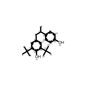 CC(Cc1cc(C(C)(C)C)c(O)c(C(C)(C)C)c1)c1ccc(O)cc1